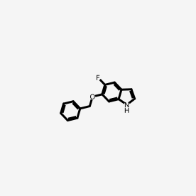 Fc1cc2cc[nH]c2cc1OCc1ccccc1